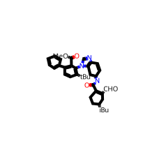 CCC(C)C1CCC(C(=O)N=C2C=Cc3ncn(-c4c(C(C)(C)C)ccc(-c5ccccc5)c4C(=O)OC)c3C2)=C(C=O)C1